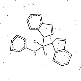 [Cl][Zr]([Cl])([AlH][c]1ccccc1)([CH]1C=Cc2ccccc21)[CH]1C=Cc2ccccc21